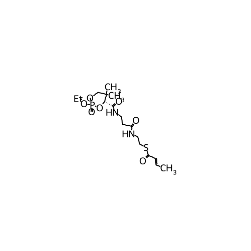 C/C=C/C(=O)SCCNC(=O)CCNC(=O)[C@@H]1OP(=O)(OCC)OCC1(C)C